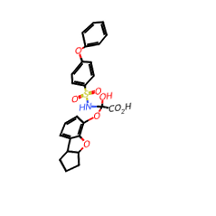 O=C(O)C(O)(NS(=O)(=O)c1ccc(Oc2ccccc2)cc1)Oc1cccc2c1OC1CCCC21